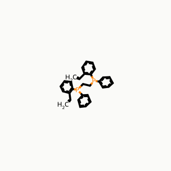 C=Cc1ccccc1P(CCP(c1ccccc1)c1ccccc1C=C)c1ccccc1